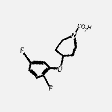 O=C(O)N1CCC(Oc2cc(F)ccc2F)CC1